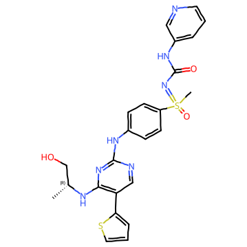 C[C@H](CO)Nc1nc(Nc2ccc(S(C)(=O)=NC(=O)Nc3cccnc3)cc2)ncc1-c1cccs1